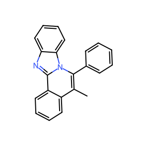 Cc1c(-c2ccccc2)n2c3ccccc3nc2c2ccccc12